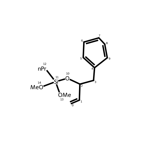 C=CC(Cc1ccccc1)O[Si](CCC)(OC)OC